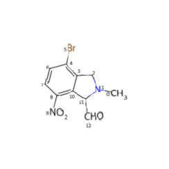 CN1Cc2c(Br)ccc([N+](=O)[O-])c2C1C=O